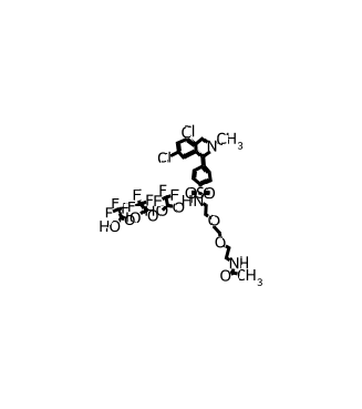 CC(=O)NCCOCCOCCNS(=O)(=O)c1ccc(C2CN(C)Cc3c(Cl)cc(Cl)cc32)cc1.O=C(O)C(F)(F)F.O=C(O)C(F)(F)F.O=C(O)C(F)(F)F